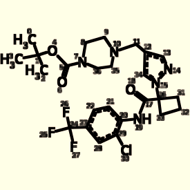 CC(C)(C)OC(=O)N1CCN(Cc2cnn(C3(C(=O)Nc4ccc(C(F)(F)F)cc4Cl)CCC3)c2)CC1